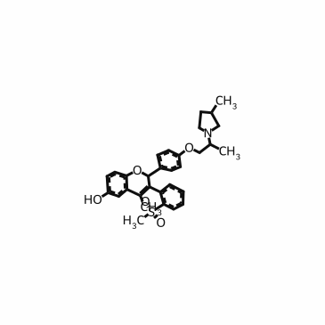 CC1=C(c2ccccc2S(C)(=O)=O)C(c2ccc(OCC(C)N3CCC(C)C3)cc2)Oc2ccc(O)cc21